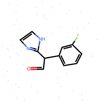 O=CC(c1cccc(F)c1)c1ncc[nH]1